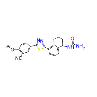 CC(C)Oc1ccc(-c2nnc(-c3cccc4c3CCC[C@H]4NC(N)=O)s2)cc1C#N